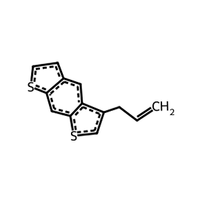 C=CCc1csc2cc3sccc3cc12